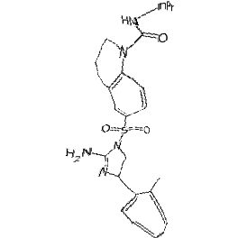 CCCNC(=O)N1CCc2cc(S(=O)(=O)N3CC(c4ccccc4C)N=C3N)ccc21